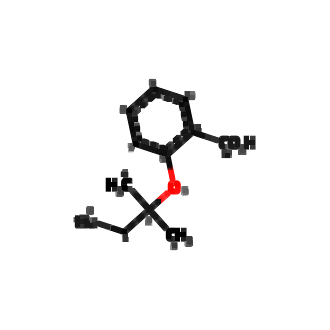 CC(C)(C)CC(C)(C)Oc1ccccc1C(=O)O